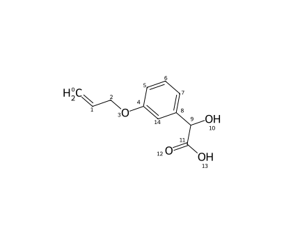 C=CCOc1cccc(C(O)C(=O)O)c1